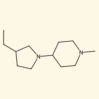 CCC1CCN(C2CCN(C)CC2)C1